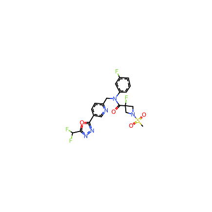 CS(=O)(=O)N1CC(F)(C(=O)N(Cc2ccc(-c3nnc(C(F)F)o3)cn2)c2cccc(F)c2)C1